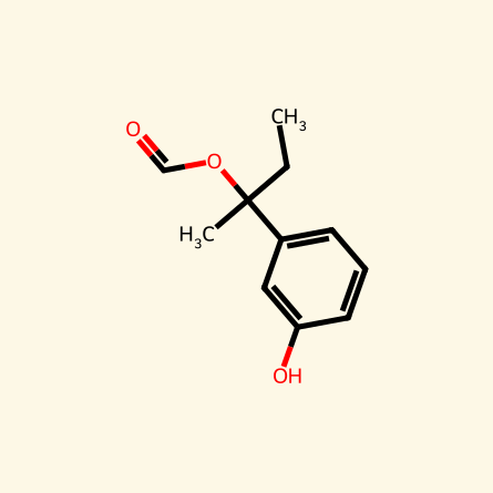 CCC(C)(OC=O)c1cccc(O)c1